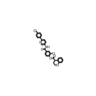 O=C(Nc1ccc(-c2ccc(Cl)cc2)nn1)c1ccc(OC(=O)C2CCOc3ccccc32)c(Cl)c1